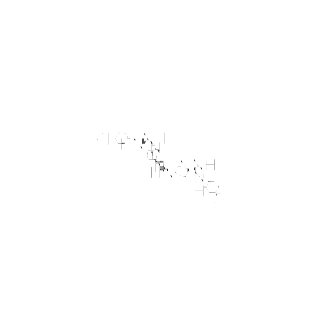 N=C(NCc1ccc(Cl)cc1)c1ccc(/N=N/Nc2ccc(C(=N)NCc3ccc(Cl)cc3)nc2)cn1